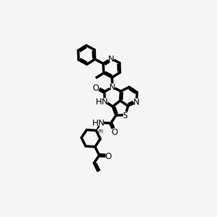 C=CC(=O)C1CCC[C@@H](NC(=O)c2sc3nccc4c3c2NC(=O)N4c2ccnc(-c3ccccc3)c2C)C1